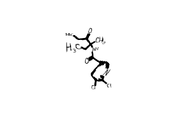 CCC(C)(NC(=O)c1cnc(Cl)c(Cl)c1)C(=O)CBr